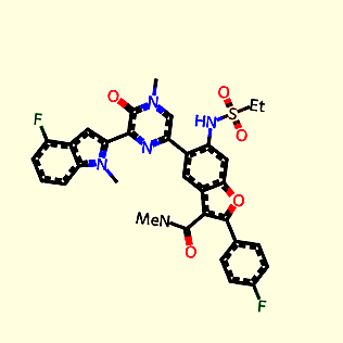 CCS(=O)(=O)Nc1cc2oc(-c3ccc(F)cc3)c(C(=O)NC)c2cc1-c1cn(C)c(=O)c(-c2cc3c(F)cccc3n2C)n1